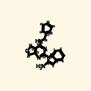 Nc1cc2ccccc2n1-c1nc2c(c(NCc3ccccc3)n1)COC2